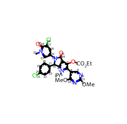 CCOC(=O)Oc1c2c(n(C(C)C)c1-c1cnc(OC)nc1OC)C(c1ccc(Cl)cc1)N(c1cc(Cl)c(=O)n(C)c1)C2=O